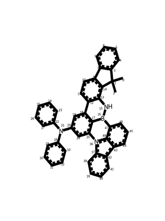 CC1(C)c2ccccc2-c2ccc3c(c21)NB1c2c-3cc(N(c3ccccc3)c3ccccc3)cc2-n2c3ccccc3c3cccc1c32